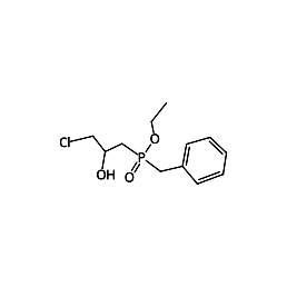 CCOP(=O)(Cc1ccccc1)CC(O)CCl